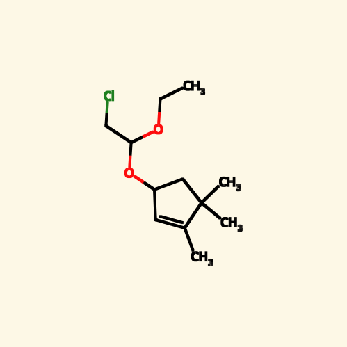 CCOC(CCl)OC1C=C(C)C(C)(C)C1